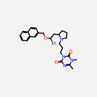 CCC(CC1CCCN1CCCn1c(=O)nc(C)n(C)c1=O)OCc1ccc2ccccc2c1